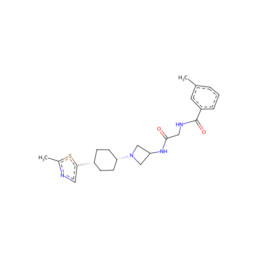 Cc1cccc(C(=O)NCC(=O)NC2CN([C@H]3CC[C@@H](c4cnc(C)s4)CC3)C2)c1